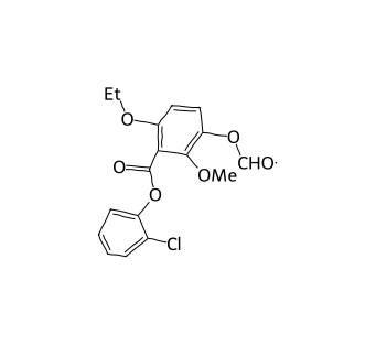 CCOc1ccc(O[C]=O)c(OC)c1C(=O)Oc1ccccc1Cl